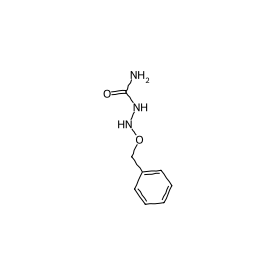 NC(=O)NNOCc1ccccc1